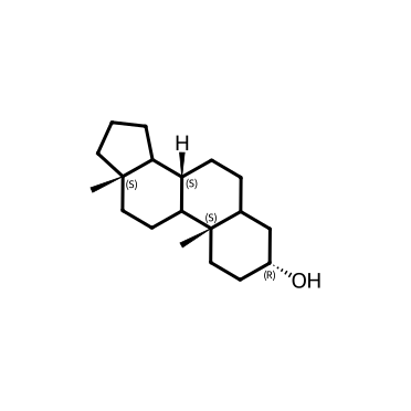 C[C@@]12CCCC1[C@@H]1CCC3C[C@H](O)CC[C@]3(C)C1CC2